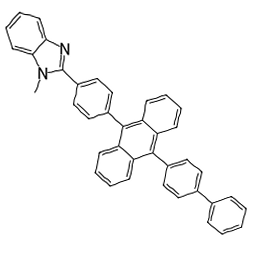 Cn1c(-c2ccc(-c3c4ccccc4c(-c4ccc(-c5ccccc5)cc4)c4ccccc34)cc2)nc2ccccc21